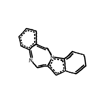 C1=Cc2cc3n(c2=CC1)C=c1ccccc1=NC=3